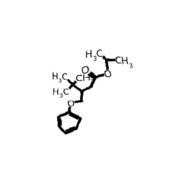 CC(C)OC(=O)CC(COc1ccccc1)C(C)(C)C